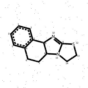 c1ccc2c(c1)CCC1C2N=C2SCCN21